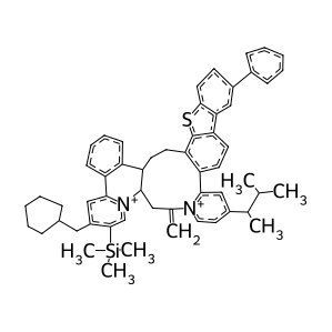 C=C1CC2C(CCc3c(ccc4c3sc3ccc(-c5ccccc5)cc34)-c3cc(C(C)C(C)C)cc[n+]31)c1ccccc1-c1cc(CC3CCCCC3)c([Si](C)(C)C)c[n+]12